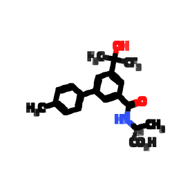 Cc1ccc(-c2cc(C(=O)N[C@H](C)C(=O)O)cc(C(O)(C(F)(F)F)C(F)(F)F)c2)cc1